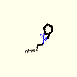 CCCCCCCCn1cc2ccccc2n1